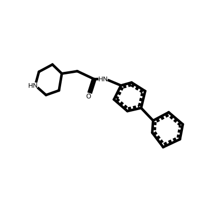 O=C(CC1CCNCC1)Nc1ccc(-c2ccccc2)cc1